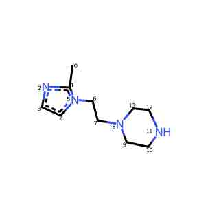 Cc1nccn1CCN1CCNCC1